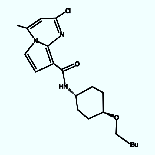 CCC(C)CO[C@H]1CC[C@H](NC(=O)c2ccn3c(C)cc(Cl)nc23)CC1